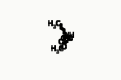 CCCCCNS(=O)(=O)CC(=O)OC